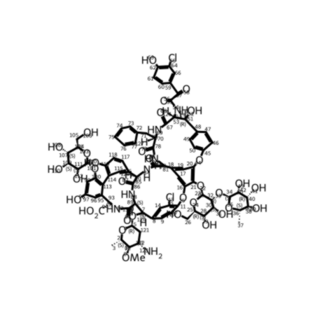 CO[C@H]1[C@H](C)O[C@@H](O[C@@H]2c3ccc(c(Cl)c3)Oc3cc4cc(c3O[C@@H]3O[C@H](CO)[C@@H](O)[C@H](O)[C@H]3O[C@@H]3O[C@@H](C)[C@H](O)[C@@H](O)[C@H]3O)Oc3ccc(cc3)[C@@H](O)[C@@H](NC(=O)C(=O)c3ccc(O)c(Cl)c3)C(=O)N[C@@H](Cc3ccccc3)C(=O)N[C@H]4C(=O)N[C@H]3C(=O)N[C@@H]2C(=O)N[C@H](C(=O)O)c2cc(O)cc(O[C@H]4O[C@H](CO)[C@@H](O)[C@H](O)[C@@H]4O)c2-c2cc3ccc2O)C[C@@H]1N